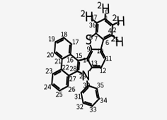 [2H]c1c([2H])c([2H])c2c(sc3c2ccc2c3c3c4ccccc4c4ccccc4c3n2-c2ccccc2)c1[2H]